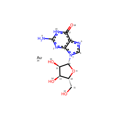 Nc1nc2c(ncn2[C@@H]2O[C@H](CO)[C@@H](O)[C@H]2O)c(=O)[nH]1.[Au]